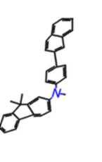 CN(c1ccc(-c2ccc3ccccc3c2)cc1)c1ccc2c(c1)C(C)(C)c1ccccc1-2